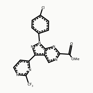 COC(=O)c1ncc2c(-c3ccnc(C(F)(F)F)n3)nn(-c3ccc(Cl)cc3)c2n1